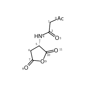 CC(=O)CC(=O)N[C@H]1CC(=O)OC1=O